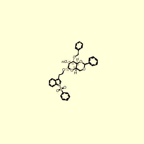 O=S(=O)(c1ccccc1)n1cc(CCO[C@H]2O[C@H]3COC(c4ccccc4)O[C@@H]3[C@@H](OCc3ccccc3)[C@H]2O)c2ccccc21